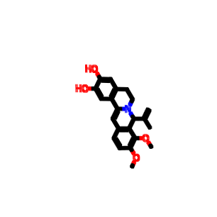 C=C(C)C1c2c(ccc(OC)c2OC)C=C2c3cc(O)c(O)cc3CCN21